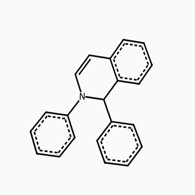 C1=CN(c2ccccc2)C(c2ccccc2)c2ccccc21